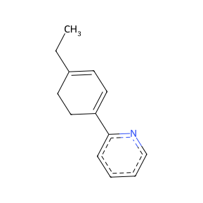 CCC1=CC=C(c2ccccn2)CC1